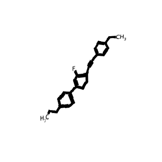 CCCc1ccc(-c2ccc(C#Cc3ccc(CC)cc3)c(F)c2)cc1